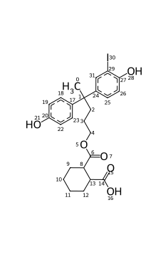 CC(CCCOC(=O)C1CCCCC1C(=O)O)(c1ccc(O)cc1)c1ccc(O)c(I)c1